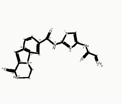 C=CC(=O)Nc1csc(NC(=O)c2ccc3cc4n(c3c2)CCNC4=O)n1